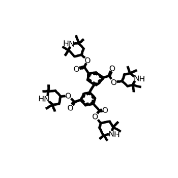 CC1(C)CC(OC(=O)c2cc(C(=O)OC3CC(C)(C)NC(C)(C)C3)cc(-c3cc(C(=O)OC4CC(C)(C)NC(C)(C)C4)cc(C(=O)OC4CC(C)(C)NC(C)(C)C4)c3)c2)CC(C)(C)N1